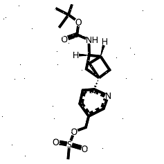 CC(C)(C)OC(=O)N[C@H]1C[C@]2(c3ccc(COS(C)(=O)=O)cn3)C[C@@H]1C2